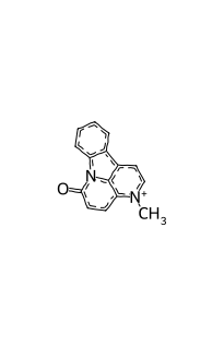 C[n+]1ccc2c3ccccc3n3c(=O)ccc1c23